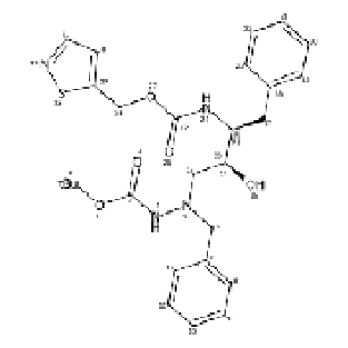 CC(C)(C)OC(=O)NN(Cc1ccccc1)C[C@H](O)[C@H](Cc1ccccc1)NC(=O)OCc1ccns1